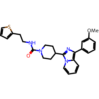 COc1cccc(-c2nc(C3CCN(C(=O)NCCc4cccs4)CC3)n3ccccc23)c1